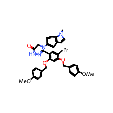 COc1ccc(COc2cc(OCc3ccc(OC)cc3)c(C(C)C)cc2C2=NNC(=O)CN2c2ccc3c(ccn3C)c2)cc1